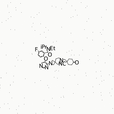 CCN(C(=O)c1cc(F)ccc1Oc1cncnc1N1CC2(CCN(CC3(C#N)CCC(=O)CC3)CC2)C1)C(C)C